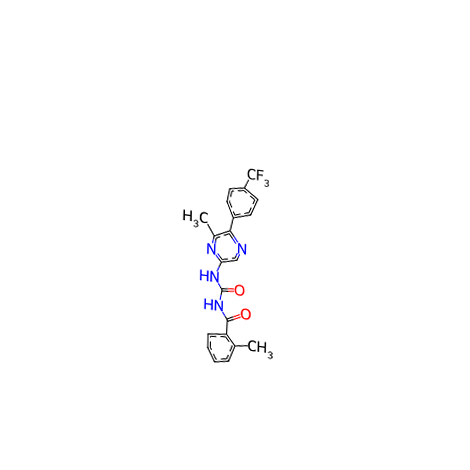 Cc1ccccc1C(=O)NC(=O)Nc1cnc(-c2ccc(C(F)(F)F)cc2)c(C)n1